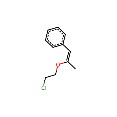 CC(=Cc1ccccc1)OCCCl